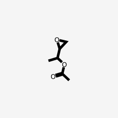 CC(=O)OC(C)C1CO1